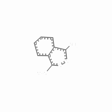 CNc1nnc(N)c2ccccc12